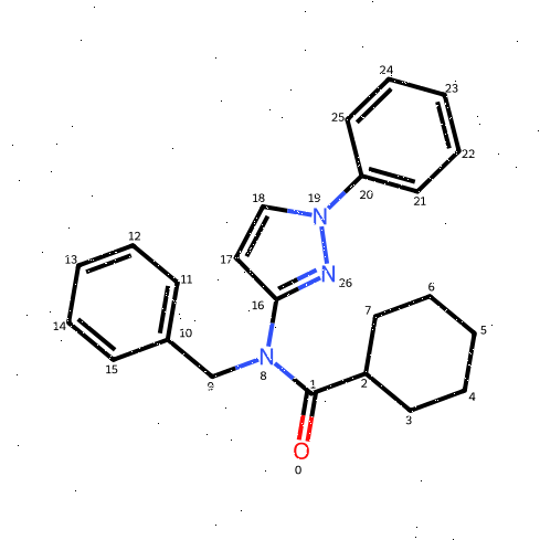 O=C(C1CCCCC1)N(Cc1ccccc1)c1ccn(-c2ccccc2)n1